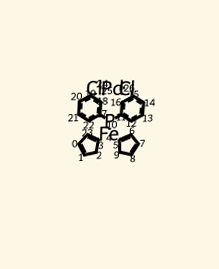 C1=CC[C]([Fe]([C]2=CC=CC2)[P](c2ccccc2)c2ccccc2)=C1.[Cl][Pd][Cl]